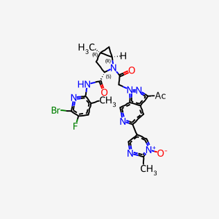 CC(=O)c1nn(CC(=O)N2[C@H](C(=O)Nc3nc(Br)c(F)cc3C)C[C@@]3(C)C[C@@H]23)c2cnc(-c3cnc(C)[n+]([O-])c3)cc12